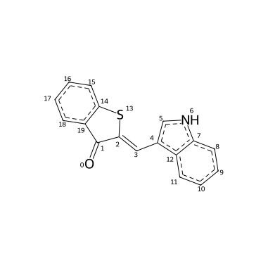 O=C1/C(=C/c2c[nH]c3ccccc23)Sc2ccccc21